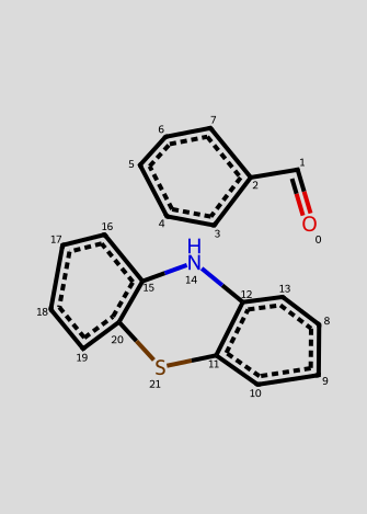 O=Cc1ccccc1.c1ccc2c(c1)Nc1ccccc1S2